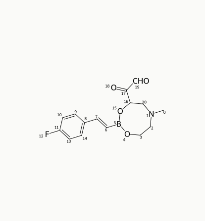 CN1CCOB(C=Cc2ccc(F)cc2)OC(C(=O)C=O)C1